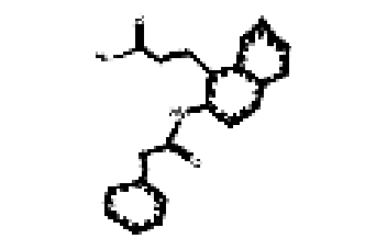 O=C(O)CCc1c(NC(=O)Cc2ccccc2)ccc2ccccc12